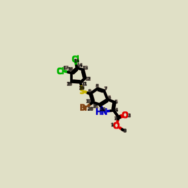 COC(=O)c1cc2ccc(Sc3ccc(Cl)c(Cl)c3)c(Br)c2[nH]1